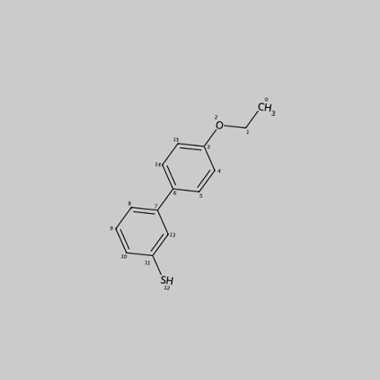 CCOc1ccc(-c2cccc(S)c2)cc1